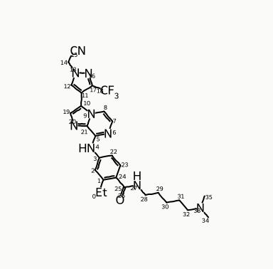 CCc1cc(Nc2nccn3c(-c4cn(CC#N)nc4C(F)(F)F)cnc23)ccc1C(=O)NCCCCCN(C)C